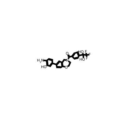 Nc1ccc(-c2ccc3c(c2)CN(C(=O)c2ccc(C(O)(O)C(F)(F)F)cc2)CCO3)cc1O